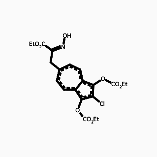 CCOC(=O)Oc1c2ccc(CC(=NO)C(=O)OCC)ccc-2c(OC(=O)OCC)c1Cl